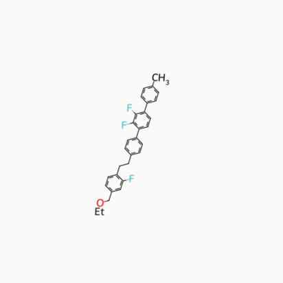 CCOCc1ccc(CCc2ccc(-c3ccc(-c4ccc(C)cc4)c(F)c3F)cc2)c(F)c1